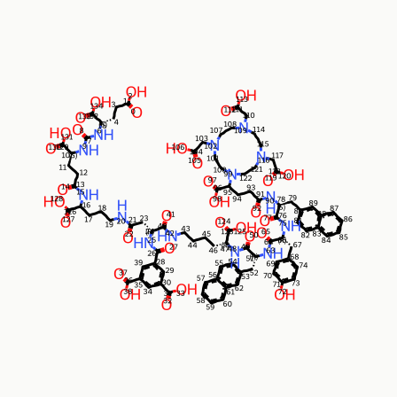 O=C(O)CC[C@H](NC(=O)N[C@@H](CCC(=O)NC(CCCNC(=O)C[C@@H](NC(=O)c1cc(C(=O)O)cc(C(=O)O)c1)C(=O)NCCCC[C@@H](NC(=O)[C@@H](Cc1ccc2ccccc2c1)NC(=O)[C@@H](Cc1ccc(O)cc1)NC(=O)[C@H](Cc1ccc2ccccc2c1)NC(=O)CCC(C(=O)O)N1CCN(CC(=O)O)CCN(CC(=O)O)CCN(CC(=O)O)CC1)C(=O)O)C(=O)O)C(=O)O)C(=O)O